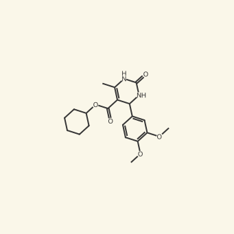 COc1ccc(C2NC(=O)NC(C)=C2C(=O)OC2CCCCC2)cc1OC